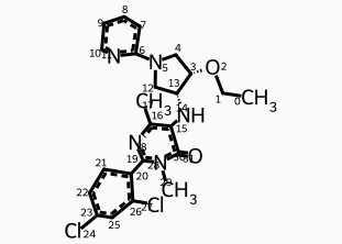 CCO[C@H]1CN(c2ccccn2)C[C@H]1Nc1c(C)nc(-c2ccc(Cl)cc2Cl)n(C)c1=O